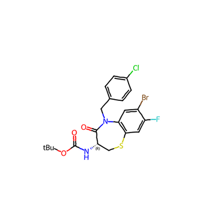 CC(C)(C)OC(=O)N[C@H]1CSc2cc(F)c(Br)cc2N(Cc2ccc(Cl)cc2)C1=O